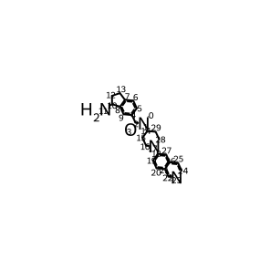 CN(C(=O)c1ccc2c(c1)C(N)CC2)C1CCN(c2ccc3cnccc3c2)CC1